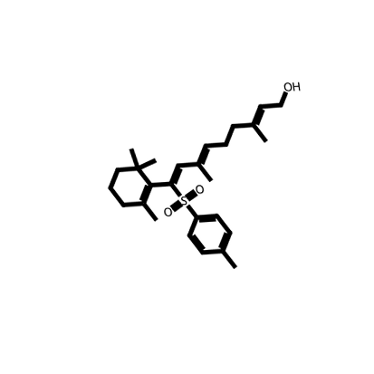 CC1=C(/C(=C/C(C)=C/CC/C(C)=C/CO)S(=O)(=O)c2ccc(C)cc2)C(C)(C)CCC1